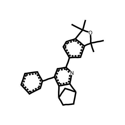 CC1(C)OC(C)(C)c2cc(-c3cc(-c4ccccc4)c4c(n3)C3CCC4C3)ccc21